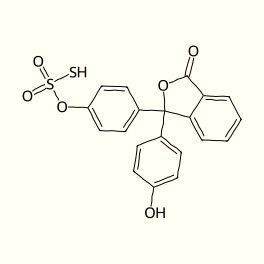 O=C1OC(c2ccc(O)cc2)(c2ccc(OS(=O)(=O)S)cc2)c2ccccc21